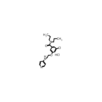 CCCN(CCC)C(=O)c1cc(Cl)cc(OCCNc2ccncc2)c1.Cl